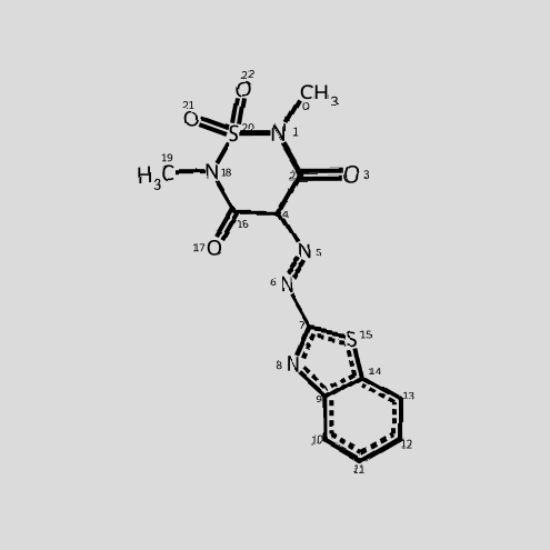 CN1C(=O)C(N=Nc2nc3ccccc3s2)C(=O)N(C)S1(=O)=O